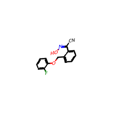 N#C/C(=N/O)c1ccccc1COc1ccccc1F